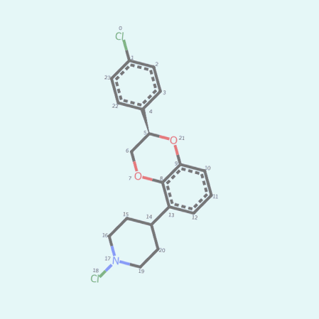 Clc1ccc([C@@H]2COc3c(cccc3C3CCN(Cl)CC3)O2)cc1